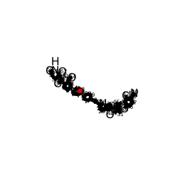 CN(C(=O)c1ccc(N2CC3CC2CN3C2CCC(C#Cc3ccc4c(n3)CN([C@H]3C(C)(C)[C@H](Oc5ccc(C#N)c(Cl)c5)C3(C)C)C4=O)CC2)cc1C=O)C1CCC(=O)NC1=O